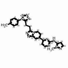 Cc1ccc(-n2nnnc2CCc2nnc3cc(-c4ccnc(Nc5ccnn5C)n4)ccn23)cc1